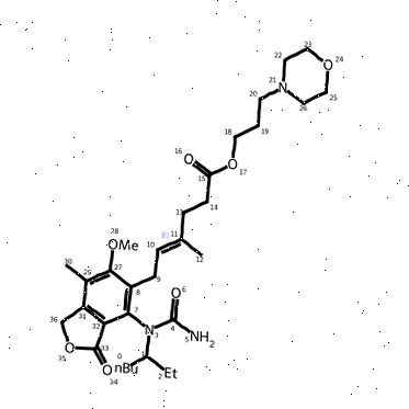 CCCCC(CC)N(C(N)=O)c1c(C/C=C(\C)CCC(=O)OCCCN2CCOCC2)c(OC)c(C)c2c1C(=O)OC2